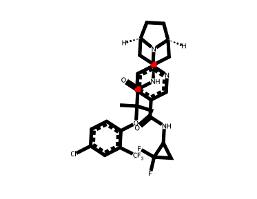 CC(C)(Oc1ccc(Cl)cc1C(F)(F)F)C(=O)N[C@H]1C[C@H]2CC[C@@H](C1)N2c1ccc(C(=O)NC2CC2(F)F)cn1